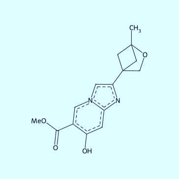 COC(=O)c1cn2cc(C34COC(C)(C3)C4)nc2cc1O